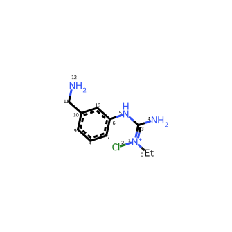 CC[N+](Cl)=C(N)Nc1cccc(CN)c1